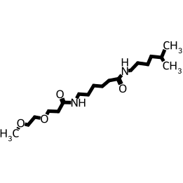 COCCOCCC(=O)NCCCCCC(=O)NCCCCC(C)C